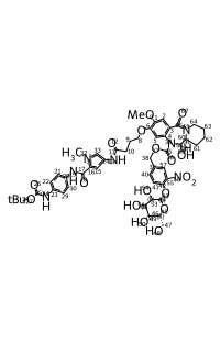 COc1cc2c(cc1OCCCC(=O)Nc1cc(C(=O)Nc3ccc(NC(=O)OC(C)(C)C)cc3)n(C)c1)N(C(=O)OCc1ccc(O[C@@H]3O[C@H](CO)[C@@H](O)[C@H](O)[C@H]3O)c([N+](=O)[O-])c1)C(O)[C@@H]1CCCCN1C2=O